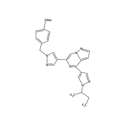 COc1ccc(Cn2cc(-c3cn4nccc4c(-c4cnn(C(C)CC(F)(F)F)c4)n3)cn2)cc1